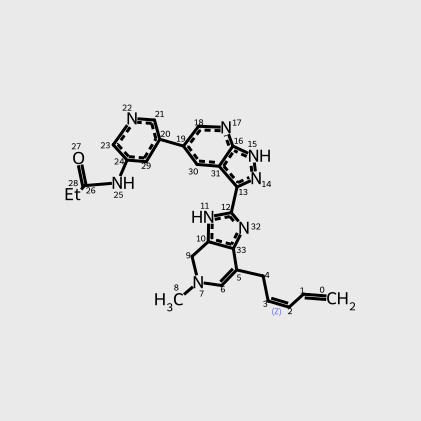 C=C/C=C\CC1=CN(C)Cc2[nH]c(-c3n[nH]c4ncc(-c5cncc(NC(=O)CC)c5)cc34)nc21